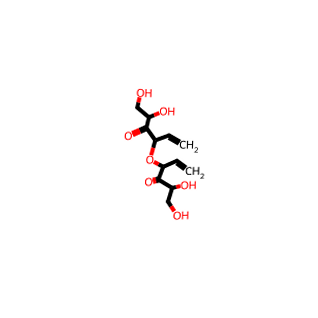 C=CC(OC(C=C)C(=O)C(O)CO)C(=O)C(O)CO